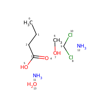 CCCC(=O)O.CO.ClCCl.N.N.O